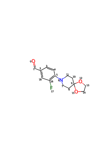 O=Cc1ccc(N2CCC3(CC2)OCCO3)c(F)c1